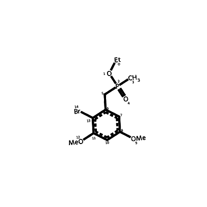 CCOP(C)(=O)Cc1cc(OC)cc(OC)c1Br